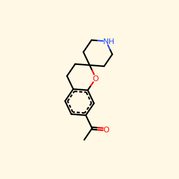 CC(=O)c1ccc2c(c1)OC1(CCNCC1)CC2